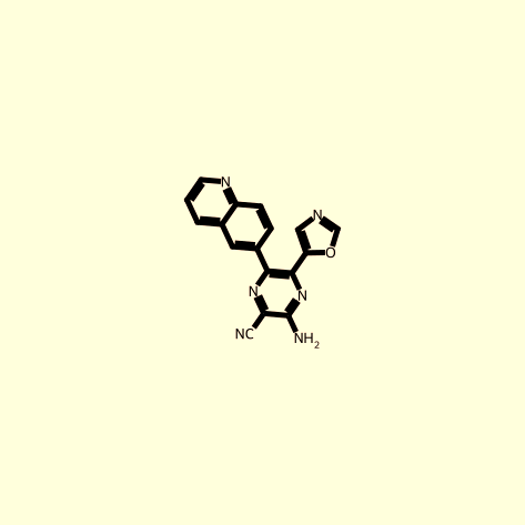 N#Cc1nc(-c2ccc3ncccc3c2)c(-c2cnco2)nc1N